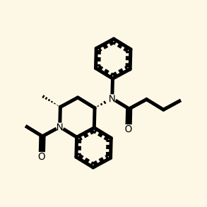 CCCC(=O)N(c1ccccc1)[C@H]1C[C@@H](C)N(C(C)=O)c2ccccc21